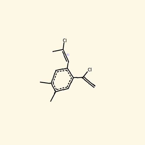 C=C(Cl)c1cc(C)c(C)cc1/C=C(\C)Cl